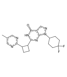 Cc1cnc(C2CCC2c2nc3c(cnn3C3CCC(F)(F)CC3)c(=O)[nH]2)nc1